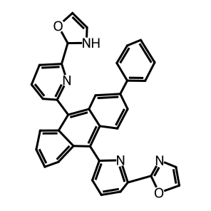 C1=COC(c2cccc(-c3c4ccccc4c(-c4cccc(-c5ncco5)n4)c4ccc(-c5ccccc5)cc34)n2)N1